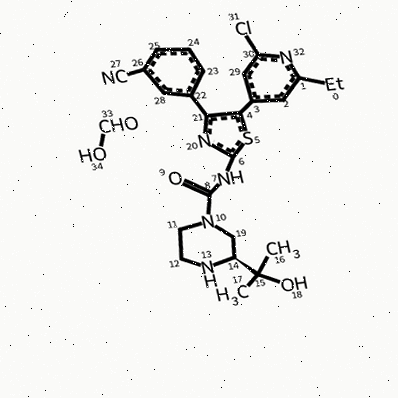 CCc1cc(-c2sc(NC(=O)N3CCN[C@H](C(C)(C)O)C3)nc2-c2cccc(C#N)c2)cc(Cl)n1.O=CO